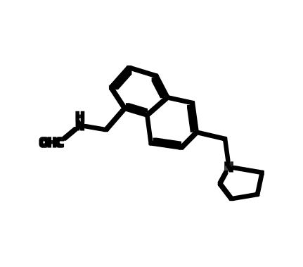 O=CNCc1cccc2cc(CN3CCCC3)ccc12